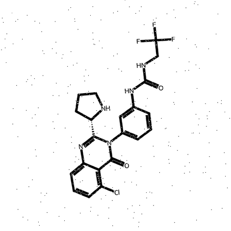 O=C(NCC(F)(F)F)Nc1cccc(-n2c([C@@H]3CCCN3)nc3cccc(Cl)c3c2=O)c1